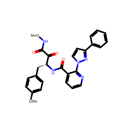 CONC(=O)C(=O)[C@@H](Cc1ccc(OC)cc1)NC(=O)c1cccnc1-n1ccc(-c2ccccc2)n1